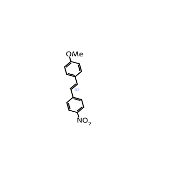 COc1ccc(/C=C/c2ccc([N+](=O)[O-])cc2)cc1